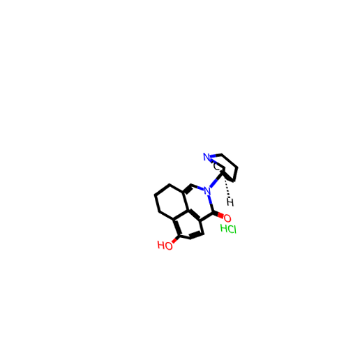 Cl.O=c1c2ccc(O)c3c2c(cn1[C@@H]1CN2CCC1CC2)CCC3